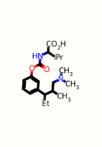 CCC(c1cccc(OC(=O)NC(C(=O)O)C(C)C)c1)C(C)CN(C)C